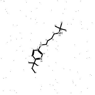 CCC(C)(C)c1ccc(OCCCCNC(C)(C)C)cn1